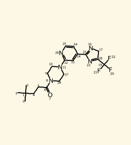 CC(C)(C)CCC(=O)N1CCN(c2cc(C3=NCC(C(F)(F)F)=N3)ccn2)CC1